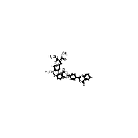 COC(=O)C(=Cc1ccc(N(C)Cc2ccc3nc(-c4ccc(-c5nc6ccccc6c(=O)o5)cc4)oc(=O)c3c2)cc1)C(=O)OC